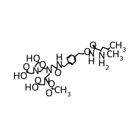 CC(=O)ON(CCN(CCN(CC(=O)O)CC(=O)O)CC(=O)NCc1ccc(CCONC(=O)[C@H](N)CC(C)C)cc1)CC(=O)O